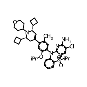 Cc1cc(N(c2ncc(Cl)c(N)n2)c2ccccc2S(=O)(=O)C(C)C)c(OC(C)C)cc1C1=C[C@@H](C2CCC2)N(C2CCOCC2)[C@H](C2CCC2)C1